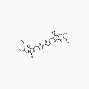 CCCCC(CC)CN1C(=O)/C(=C/c2ccc(-c3ccc(/C=C4\SC(=S)N(CC(CC)CCCC)C4=O)s3)s2)SC1=S